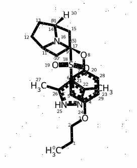 CCCOc1ccc(O[C@H]2CC3CC[C@H](C2)N3CS(=O)(=O)c2c(C)n[nH]c2C)cc1